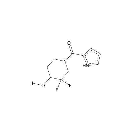 O=C(c1ccc[nH]1)N1CCC(OI)C(F)(F)C1